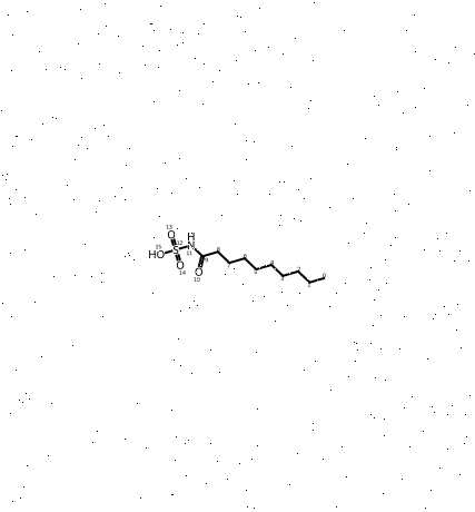 CCCCCCCCCC(=O)NS(=O)(=O)O